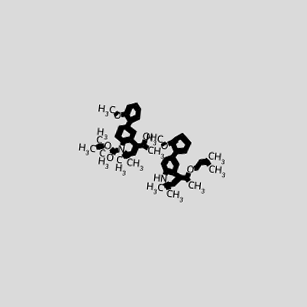 COc1ccccc1-c1ccc2c(c1)C(C(C)O)=CC(C)(C)N2C(=O)OC(C)(C)C.COc1ccccc1-c1ccc2c(c1)C(C(C)OCC=C(C)C)=CC(C)(C)N2